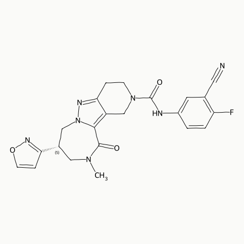 CN1C[C@H](c2ccon2)Cn2nc3c(c2C1=O)CN(C(=O)Nc1ccc(F)c(C#N)c1)CC3